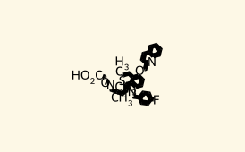 CC1Cc2c(OCc3ccc4ccccc4n3)ccc3c2c(c(CC(C)(C)C=NOCC(=O)O)n3Cc2ccc(F)cc2)S1